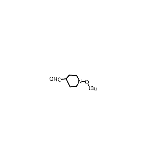 CC(C)(C)ON1CCC(C=O)CC1